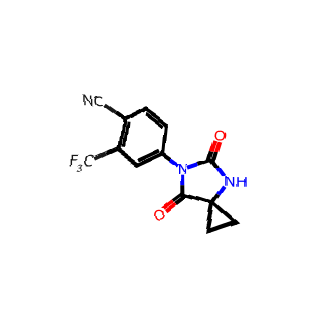 N#Cc1ccc(N2C(=O)NC3(CC3)C2=O)cc1C(F)(F)F